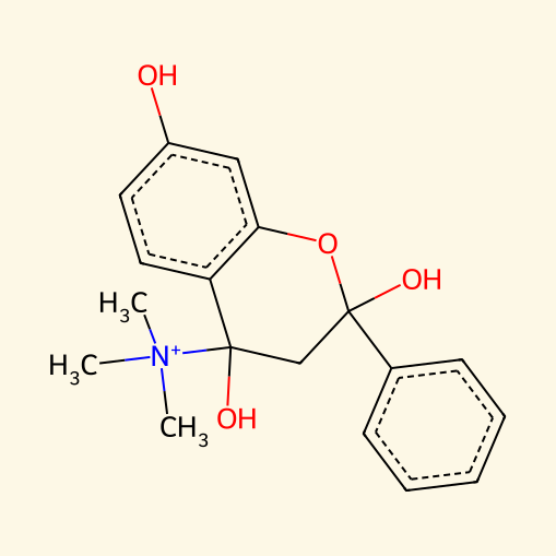 C[N+](C)(C)C1(O)CC(O)(c2ccccc2)Oc2cc(O)ccc21